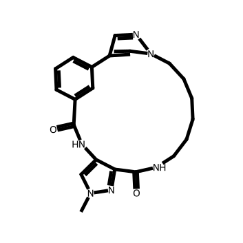 Cn1cc2c(n1)C(=O)NCCCCCCn1cc(cn1)-c1cccc(c1)C(=O)N2